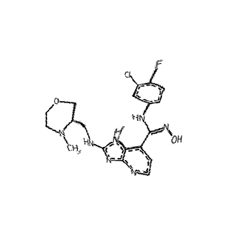 CN1CCOC[C@H]1CNc1nc2nccc(/C(=N\O)Nc3ccc(F)c(Cl)c3)c2[nH]1